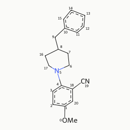 COc1ccc(N2CCC(Cc3ccccc3)CC2)c(C#N)c1